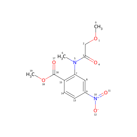 COCC(=O)N(C)c1cc([N+](=O)[O-])ccc1C(=O)OC